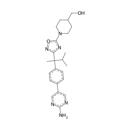 CC(C)C(C)(c1ccc(-c2cnc(N)nc2)cc1)c1noc(N2CCC(CO)CC2)n1